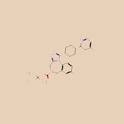 CC(C)(C)OC(=O)N1Cc2cc(Cl)ccc2-n2c(nnc2[C@H]2CC[C@H](C3CC(Cl)=CC=N3)CC2)C1